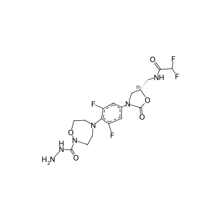 NNC(=O)N1CCN(c2c(F)cc(N3C[C@H](CNC(=O)C(F)F)OC3=O)cc2F)CCO1